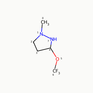 CN1[CH]CC(OC(F)(F)F)N1